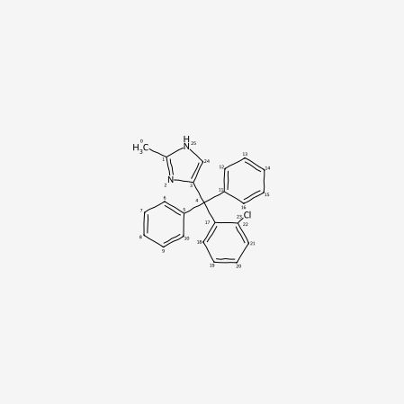 Cc1nc(C(c2ccccc2)(c2ccccc2)c2ccccc2Cl)c[nH]1